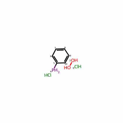 Cl.Cl.OO.Pc1ccccc1